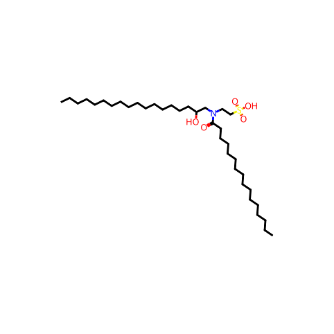 CCCCCCCCCCCCCCCCC(O)CN(CCS(=O)(=O)O)C(=O)CCCCCCCCCCCCCCC